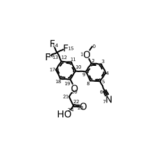 COc1ccc(C#N)cc1-c1cc(C(F)(F)F)ccc1OCC(=O)O